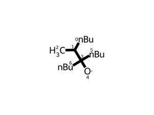 CCCCC(C)C([O])(CCCC)CCCC